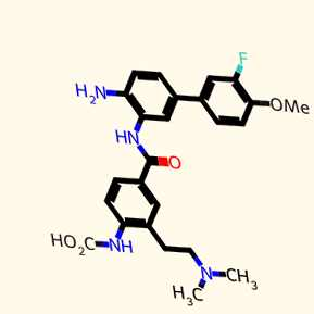 COc1ccc(-c2ccc(N)c(NC(=O)c3ccc(NC(=O)O)c(CCN(C)C)c3)c2)cc1F